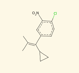 CC(C)=C(c1ccc(Cl)c([N+](=O)[O-])c1)C1CC1